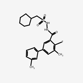 Cc1cccc(-c2cc(C)c(F)c(C(=O)NNS(=O)(=O)CC3CCCCC3)c2)c1